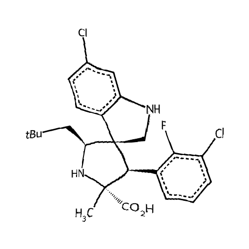 CC(C)(C)C[C@@H]1N[C@@](C)(C(=O)O)[C@H](c2cccc(Cl)c2F)[C@]12CNc1cc(Cl)ccc12